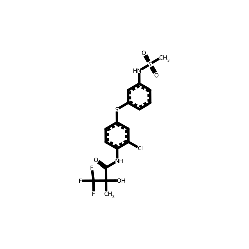 CC(O)(C(=O)Nc1ccc(Sc2cccc(NS(C)(=O)=O)c2)cc1Cl)C(F)(F)F